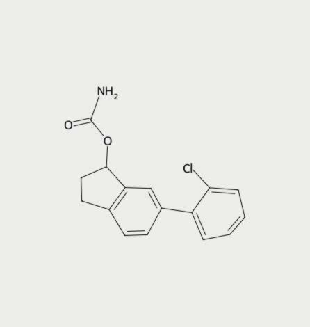 NC(=O)OC1CCc2ccc(-c3ccccc3Cl)cc21